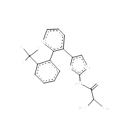 CC(C)C(=O)Nc1ncc(-c2cccnc2-c2ccccc2C(F)(F)F)s1